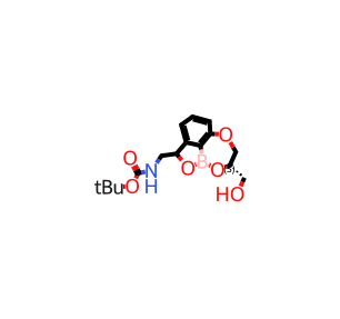 CC(C)(C)OC(=O)NCC1OB2O[C@@H](CO)COc3cccc1c32